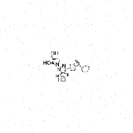 Cl.OC[C@H]1CCN(c2nc(-c3ccc4c(c3)ncn4C3CCCCC3)c3nc[nH]c3n2)C[C@@H]1O